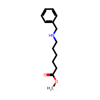 COC(=O)CCCCCNCc1ccccc1